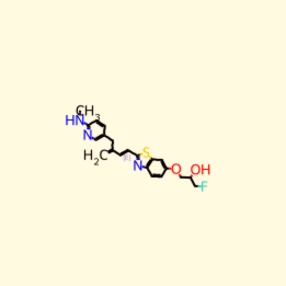 C=C(/C=C/c1nc2ccc(OCC(O)CF)cc2s1)Cc1ccc(NC)nc1